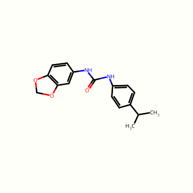 CC(C)c1ccc(NC(=O)Nc2ccc3c(c2)OCO3)cc1